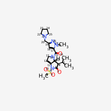 CC(C)[C@H]1C(=O)N(S(C)(=O)=O)C2=CCN(C(=O)c3cc(CN4CCCC4)nn3C)[C@@H]21